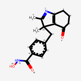 CC1=NC2=C(C(=O)CCC2)C1(C)Cc1ccc(C(=O)NO)cc1